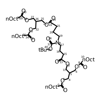 CCCCCCCCC(=O)OCC(COC(=O)CCCCCCCC)COC(=O)CCCN(CCCC(=O)OCC(COC(=O)CCCCCCCC)COC(=O)CCCCCCCC)C(=O)OC(C)(C)C